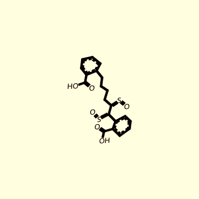 O=S=C(CCCCc1ccccc1C(=O)O)C(=S=O)c1ccccc1C(=O)O